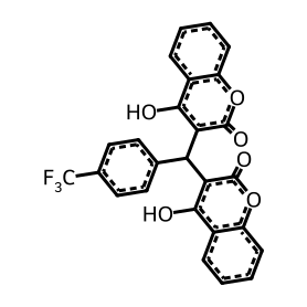 O=c1oc2ccccc2c(O)c1C(c1ccc(C(F)(F)F)cc1)c1c(O)c2ccccc2oc1=O